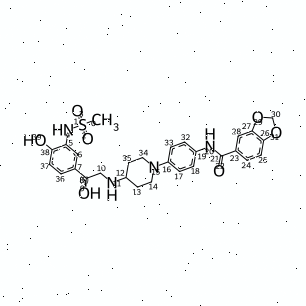 CS(=O)(=O)Nc1cc([C@H](O)CNC2CCN(c3ccc(NC(=O)c4ccc5c(c4)OCO5)cc3)CC2)ccc1O